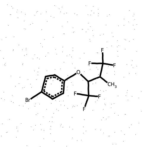 CC(C(Oc1ccc(Br)cc1)C(F)(F)F)C(F)(F)F